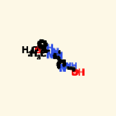 COc1ccccc1[C@H](C)CNc1cc(-c2ccnc(NCCO)c2)ncn1